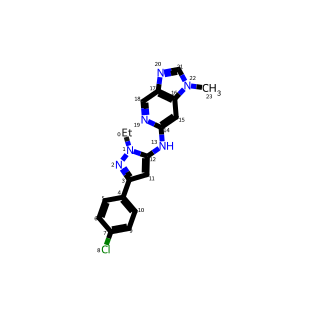 CCn1nc(-c2ccc(Cl)cc2)cc1Nc1cc2c(cn1)ncn2C